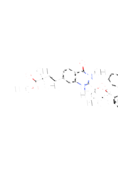 COC(=O)C(C)(C)/C=C/c1ccc2c(=O)n(C)c([C@@H](C)O[Si](c3ccccc3)(c3ccccc3)C(C)(C)C)nc2c1